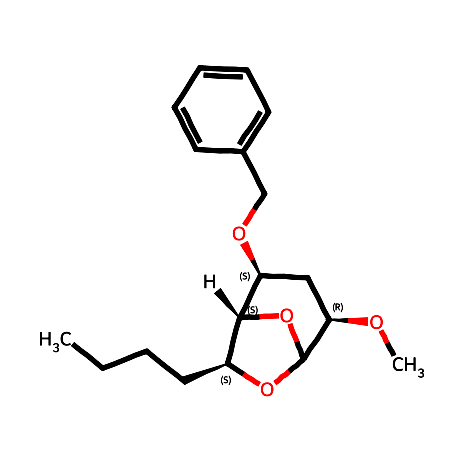 CCCC[C@@H]1OC2O[C@H]1[C@@H](OCc1ccccc1)C[C@H]2OC